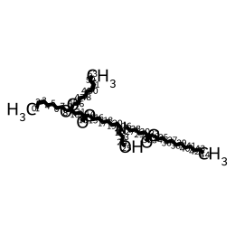 CC/C=C\CCCCOC(CCC(=O)OCCCCCCN(CCCO)CCCCCC(=O)OCCCCCCCCCCC)OCCCC/C=C\CC